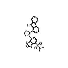 CN(C)S(=O)(=O)c1ccc(N2CCCC2c2cccc3c2[nH]c2ccccc23)c2nonc12